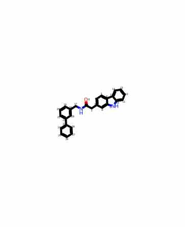 O=C(Cc1ccc2c(c1)[nH]c1ccccc12)NCc1cccc(-c2ccccc2)c1